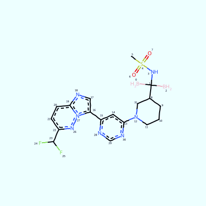 BC(B)(NS(C)(=O)=O)C1CCCN(c2cc(-c3cnc4ccc(C(F)F)nn34)ncn2)C1